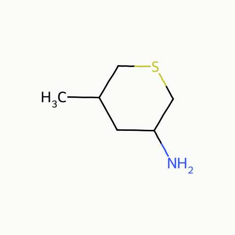 CC1CSCC(N)C1